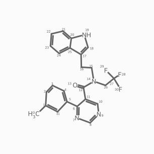 Cc1cccc(-c2ncncc2C(=O)N(CCc2c[nH]c3ccccc23)CC(F)(F)F)c1